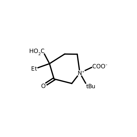 CCC1(C(=O)O)CC[N+](C(=O)[O-])(C(C)(C)C)CC1=O